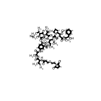 CC[C@H](C)[C@@H]([C@@H](CC(=O)N1CCC[C@H]1[C@H](OC)[C@@H](C)C(=O)N[C@H](C)[C@@H](O)c1ccccc1)OC)N(C)C(=O)[C@@H](NC(=O)[C@H](C(C)C)N(C)C(=O)OCc1ccc(NC(=O)[C@H](C)NC(=O)[C@@H](NC(=O)CCOCCN2C(=O)C=CC2=O)C(C)C)cc1S(=O)(=O)[O-])C(C)C.[Na+]